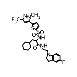 Cn1nc(C(F)(F)F)cc1-c1ccc(S(=O)(=O)NC(CC2CCCCC2)C(=O)NCCN2CCc3cc(F)ccc32)s1